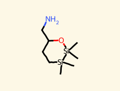 C[Si]1(C)CCC(CN)O[Si]1(C)C